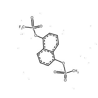 CS(=O)(=O)Oc1cccc2c(OS(=O)(=O)C(F)(F)F)cccc12